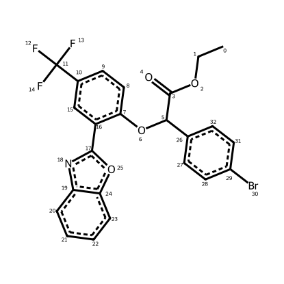 CCOC(=O)C(Oc1ccc(C(F)(F)F)cc1-c1nc2ccccc2o1)c1ccc(Br)cc1